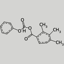 Cc1ccc(C(=O)O[PH](=O)Oc2ccccc2)c(C)c1C